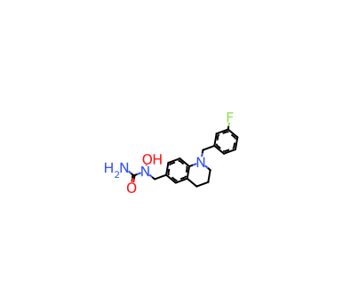 NC(=O)N(O)Cc1ccc2c(c1)CCCN2Cc1cccc(F)c1